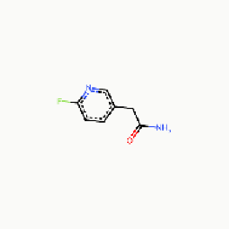 NC(=O)Cc1ccc(F)nc1